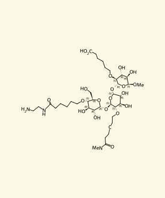 CNC(=O)CCCCCO[C@@H]1[C@@H](O[C@H]2O[C@H](CO)[C@@H](OCCCCCC(=O)NCCN)[C@H](O)[C@H]2O)O[C@H](O[C@H]2O[C@H](OC)[C@H](O)[C@@H](O)[C@@H]2OCCCCCC(=O)O)[C@H](O)[C@H]1O